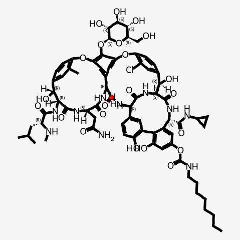 CCCCCCCCNC(=O)Oc1cc(O)c2c(c1)[C@@H](C(=O)NC1CC1)NC(=O)[C@H]1NC(=O)[C@H](NC(=O)[C@@H]3NC(=O)[C@H](CC(N)=O)NC(=O)[C@H](NC(=O)[C@@H](CC(C)C)NC)[C@H](O)c4ccc(c(C)c4)Oc4cc3cc(c4O[C@@H]3O[C@H](CO)[C@@H](O)[C@H](O)[C@H]3O)Oc3ccc(cc3Cl)[C@H]1O)c1ccc(O)c-2c1